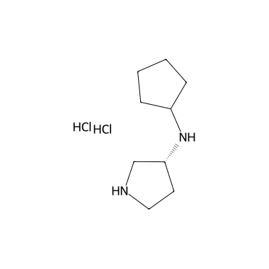 C1CCC(N[C@@H]2CCNC2)C1.Cl.Cl